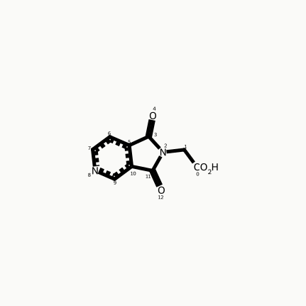 O=C(O)CN1C(=O)c2ccncc2C1=O